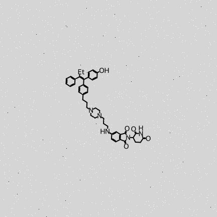 CC/C(=C(\c1ccc(O)cc1)c1ccc(CCCN2CCN(CCCNc3ccc4c(c3)C(=O)N(C3CCC(=O)NC3=O)C4=O)CC2)cc1)c1ccccc1